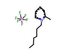 CCCCCC[n+]1ccccc1C.F[P-](F)(F)(F)(F)F